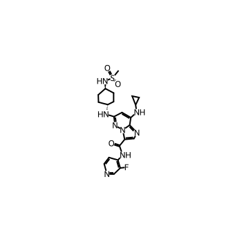 CS(=O)(=O)N[C@H]1CC[C@H](Nc2cc(NC3CC3)c3ncc(C(=O)Nc4ccncc4F)n3n2)CC1